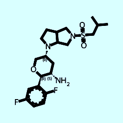 CC(C)CS(=O)(=O)N1CC2CCN([C@H]3CO[C@H](c4cc(F)ccc4F)[C@@H](N)C3)C2C1